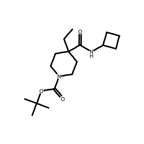 CCC1(C(=O)NC2CCC2)CCN(C(=O)OC(C)(C)C)CC1